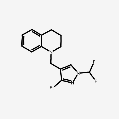 CCc1nn(C(F)F)cc1CN1CCCc2ccccc21